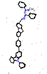 C=N/C(=N\C(=N/Cc1ccc2c(c1)Cc1cc(-c3ccc(-c4ccc5c(c4)c4ccccc4n5-c4ccccc4)cc3)ccc1-2)c1ccccc1)c1ccccc1